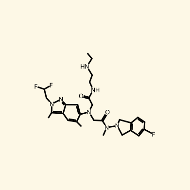 CCNCCNC(=O)CN(CC(=O)N(C)N1Cc2ccc(F)cc2C1)c1cc2nn(CC(F)F)c(C)c2cc1C